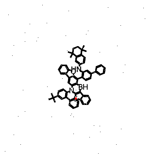 CC(C)(C)c1ccc(N2c3cc4c(oc5ccccc54)c(-c4ccc(-c5ccccc5)cc4Nc4ccc5c(c4)C(C)(C)CCC5(C)C)c3Bc3c2sc2ccccc32)c(-c2ccccc2)c1